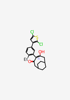 CCc1ccc(-c2cc(Cl)sc2Cl)cc1/C1=C(\O)CC2CCC(CC2)CC1=O